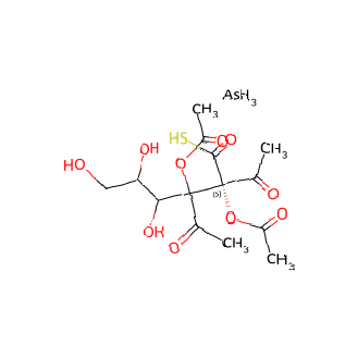 CC(=O)OC(C(C)=O)(C(O)C(O)CO)[C@](OC(C)=O)(C(C)=O)C(=O)S.[AsH3]